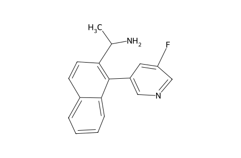 CC(N)c1ccc2ccccc2c1-c1cncc(F)c1